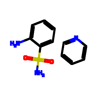 Nc1ccccc1S(N)(=O)=O.c1ccncc1